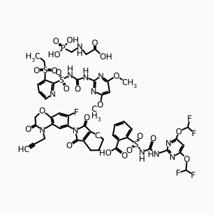 C#CCN1C(=O)COc2cc(F)c(N3C(=O)C4=C(CCCC4)C3=O)cc21.CCS(=O)(=O)c1cccnc1S(=O)(=O)NC(=O)Nc1nc(OC)cc(OC)n1.O=C(Nc1nc(OC(F)F)cc(OC(F)F)n1)NS(=O)(=O)c1ccccc1C(=O)O.O=C(O)CNCP(=O)(O)O